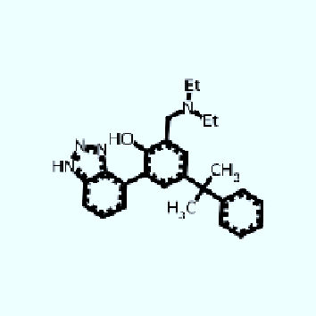 CCN(CC)Cc1cc(C(C)(C)c2ccccc2)cc(-c2cccc3[nH]nnc23)c1O